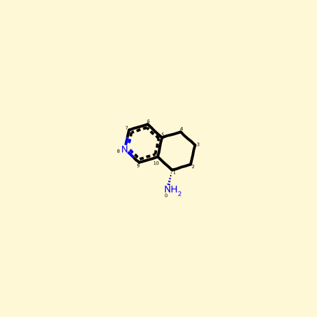 N[C@H]1CCCc2ccncc21